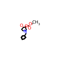 CCOC(=O)OC1CN(Cc2ccccc2)CCC1=O